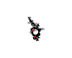 CCn1c(-c2ccccc2CN(C)C)c2c3cc(ccc31)-c1cc(O)cc(c1)C[C@H](NC(=O)[C@H](C(C)C)N(C)Cc1ccc(NC(=O)/C=C/CN(C)C)cn1)C(=O)N1CCC[C@H](N1)C(=O)OCC(C)(C)C2